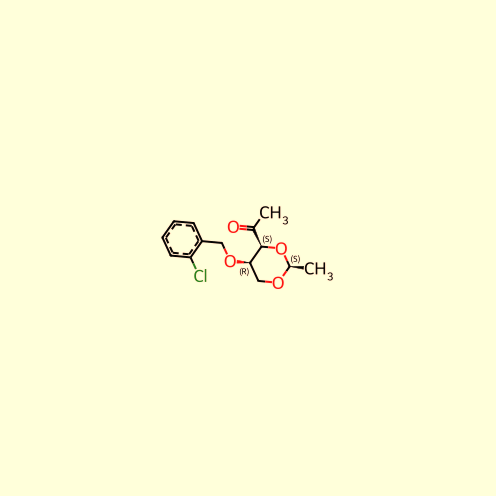 CC(=O)[C@H]1O[C@@H](C)OC[C@H]1OCc1ccccc1Cl